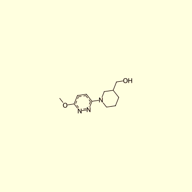 COc1ccc(N2CCCC(CO)C2)nn1